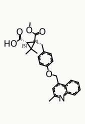 COC(=O)[C@]1(Cc2ccc(OCc3cc(C)nc4ccccc34)cc2)[C@@H](C(=O)O)C1(C)C